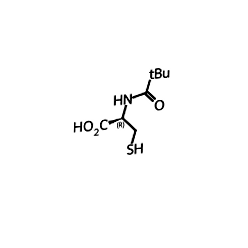 CC(C)(C)C(=O)N[C@@H](CS)C(=O)O